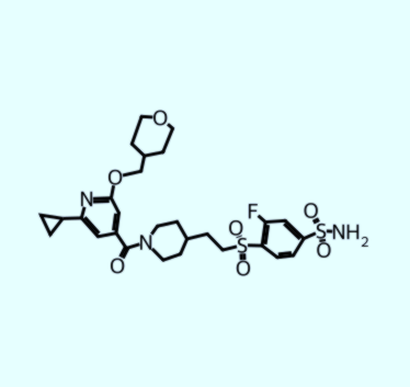 NS(=O)(=O)c1ccc(S(=O)(=O)CCC2CCN(C(=O)c3cc(OCC4CCOCC4)nc(C4CC4)c3)CC2)c(F)c1